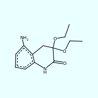 CCOC1(OCC)Cc2c(N)cccc2NC1=O